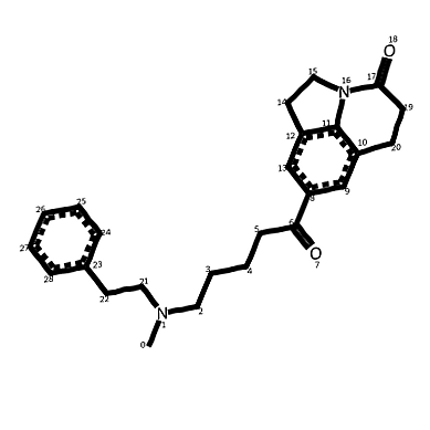 CN(CCCCC(=O)c1cc2c3c(c1)CCN3C(=O)CC2)CCc1ccccc1